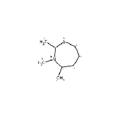 CC1CCCSC(C)N1C